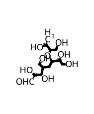 C[C@@H](O)C(CO)OC(CC(CO)C(O)[C@H](O)C=O)[C@@H](O)CO